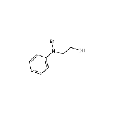 OCCN(Br)c1ccccc1